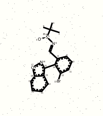 CC(C)(C)[S@+]([O-])N=Cc1cccc(Br)c1-c1noc2ccccc12